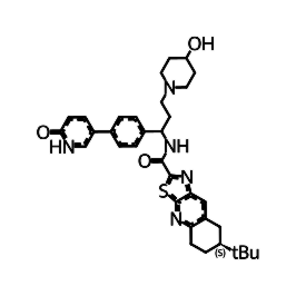 CC(C)(C)[C@H]1CCc2nc3sc(C(=O)NC(CCN4CCC(O)CC4)c4ccc(-c5ccc(=O)[nH]c5)cc4)nc3cc2C1